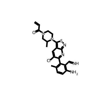 C=CC(=O)N1CCN(c2snc3nc(-c4c(C)ccc(N)c4C=N)c(Cl)cc23)C(C)C1